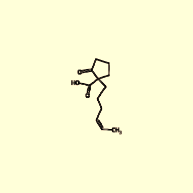 C/C=C\CCCC1(C(=O)O)CCCC1=O